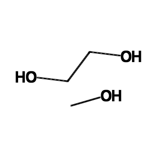 CO.OCCO